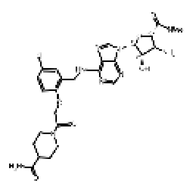 CNC(=O)[C@H]1O[C@@H](n2cnc3c(NCc4cc(Cl)ccc4OCC(=O)N4CCC(C(N)=O)CC4)ncnc32)[C@H](O)C1N